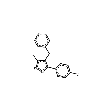 Cc1[nH]nc(-c2ccc(Cl)cc2)c1Cc1ccccc1